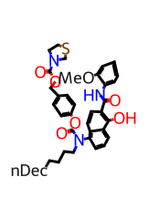 CCCCCCCCCCCCCCN(C(=O)Oc1ccc(COC(=O)N2CCSC2)cc1)c1cccc2c(O)c(C(=O)Nc3ccccc3OC)ccc12